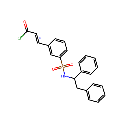 O=C(Cl)/C=C/c1cccc(S(=O)(=O)NC(Cc2ccccc2)c2ccccc2)c1